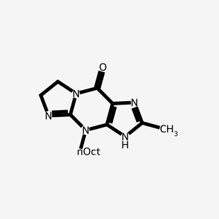 CCCCCCCCN1C2=NCCN2C(=O)c2nc(C)[nH]c21